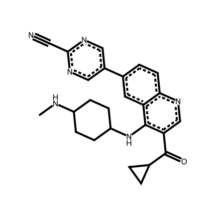 CNC1CCC(Nc2c(C(=O)C3CC3)cnc3ccc(-c4cnc(C#N)nc4)cc23)CC1